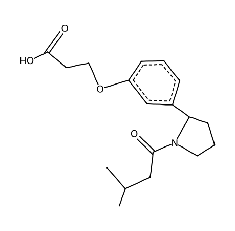 CC(C)CC(=O)N1CCCC1c1cccc(OCCC(=O)O)c1